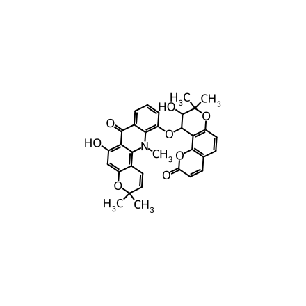 Cn1c2c(OC3c4c(ccc5ccc(=O)oc45)OC(C)(C)C3O)cccc2c(=O)c2c(O)cc3c(c21)C=CC(C)(C)O3